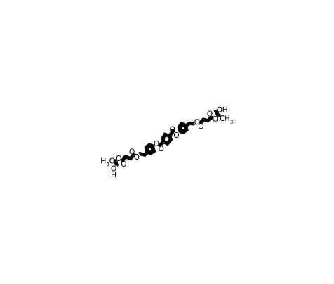 C[C@H](CO)OC(=O)CCC(=O)OCCc1ccc(OC(=O)C2CCC(C(=O)Oc3ccc(CCOC(=O)CCC(=O)O[C@H](C)CO)cc3)CC2)cc1